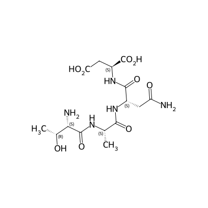 C[C@H](NC(=O)[C@@H](N)[C@@H](C)O)C(=O)N[C@@H](CC(N)=O)C(=O)N[C@@H](CC(=O)O)C(=O)O